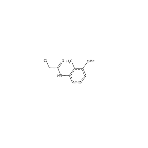 COc1cccc(NC(=O)CCl)c1C